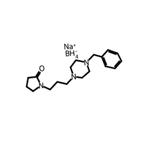 O=C1CCCN1CCCN1CCN(Cc2ccccc2)CC1.[BH4-].[Na+]